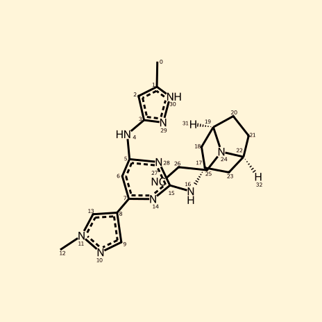 Cc1cc(Nc2cc(-c3cnn(C)c3)nc(N[C@@H]3C[C@H]4CC[C@@H](C3)N4CCC#N)n2)n[nH]1